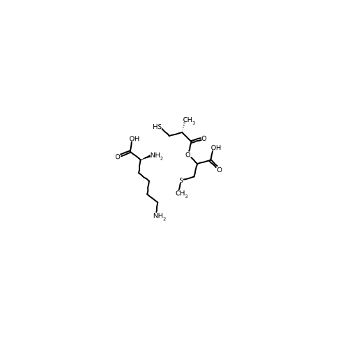 CSCC(OC(=O)[C@@H](C)CS)C(=O)O.NCCCC[C@H](N)C(=O)O